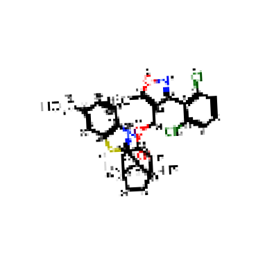 Cc1onc(-c2c(Cl)cccc2Cl)c1CO[C@H]1C[C@H]2CC[C@@H](C1)[C@@]2(O)c1nc2ccc(C(=O)O)cc2s1